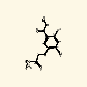 CNC(=O)COc1cc(C(=O)CCl)c(F)cc1Cl